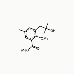 COC(=O)c1cc(C)cc(CC(C)(C)O)c1OC